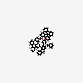 c1ccc(N(c2ccc3c(c2)c2c(-c4ccc5c6ccccc6c6ccccc6c5c4)c4c(cc2n3-c2ccccc2)oc2ccccc24)c2cccc3c2-c2ccccc2C32c3ccccc3-c3ccccc32)cc1